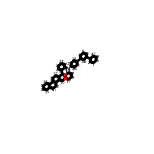 c1ccc(-c2cccc(-c3ccc(N(c4ccccc4)c4ccccc4-c4cccc5c4ccc4c6ccccc6ccc54)cc3)c2)cc1